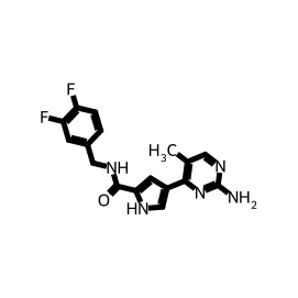 Cc1cnc(N)nc1-c1c[nH]c(C(=O)NCc2ccc(F)c(F)c2)c1